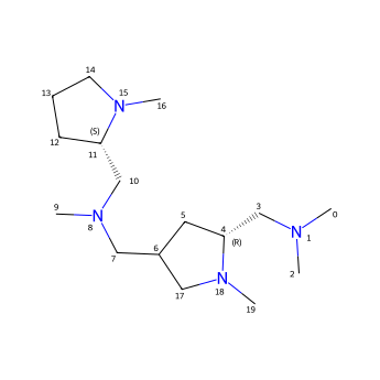 CN(C)C[C@H]1CC(CN(C)C[C@@H]2CCCN2C)CN1C